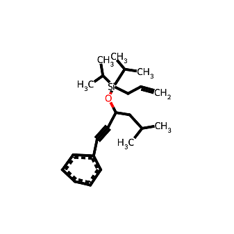 C=CC[Si](OC(C#Cc1ccccc1)CC(C)C)(C(C)C)C(C)C